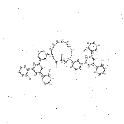 C=C1/C=C(c2cccc(-c3nc(-c4ccccc4C)nc(-c4ccccc4C)n3)c2)\C=C/CO/C=C/C=CC(c2cccc(-c3nc(-c4ccccc4C)nc(-c4ccccc4C)n3)c2)/C=C/1C